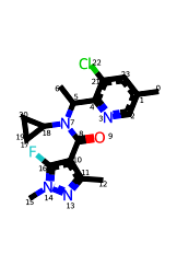 Cc1cnc(C(C)N(C(=O)c2c(C)nn(C)c2F)C2CC2)c(Cl)c1